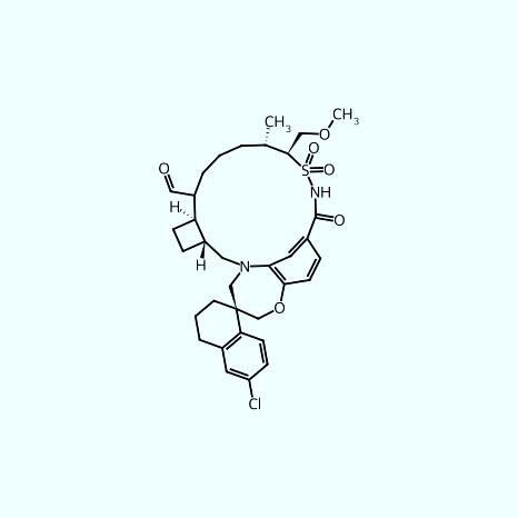 COC[C@@H]1[C@@H](C)CCCC(C=O)[C@@H]2CC[C@H]2CN2C[C@@]3(CCCc4cc(Cl)ccc43)COc3ccc(cc32)C(=O)NS1(=O)=O